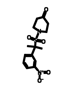 CC(C)(c1cccc([N+](=O)[O-])c1)S(=O)(=O)N1CCC(=O)CC1